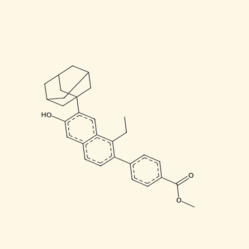 CCc1c(-c2ccc(C(=O)OC)cc2)ccc2cc(O)c(C34CC5CC(CC(C5)C3)C4)cc12